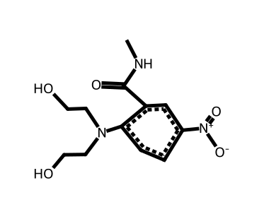 CNC(=O)c1cc([N+](=O)[O-])ccc1N(CCO)CCO